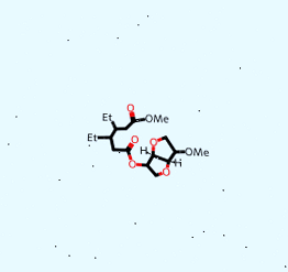 CCC(CC(=O)OC)C(CC)CC(=O)OC1CO[C@@H]2C(OC)CO[C@H]12